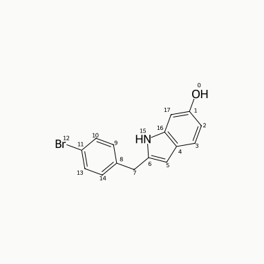 Oc1ccc2cc(Cc3ccc(Br)cc3)[nH]c2c1